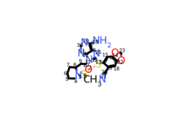 C[S+]([O-])N1CCCCC1CCn1c(Sc2cc3c(cc2C#N)OCO3)nc2c(N)ncnc21